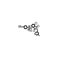 Cc1cncc(CN2C(=O)c3c(Cl)ccc(NS(=O)(=O)c4ccc(C(C)(C)C)cc4)c3C2=O)c1